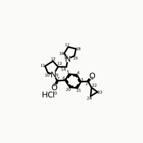 Cl.O=C(c1ccc(C(=O)N2CCCC2CN2CCCC2)cc1)C1CC1